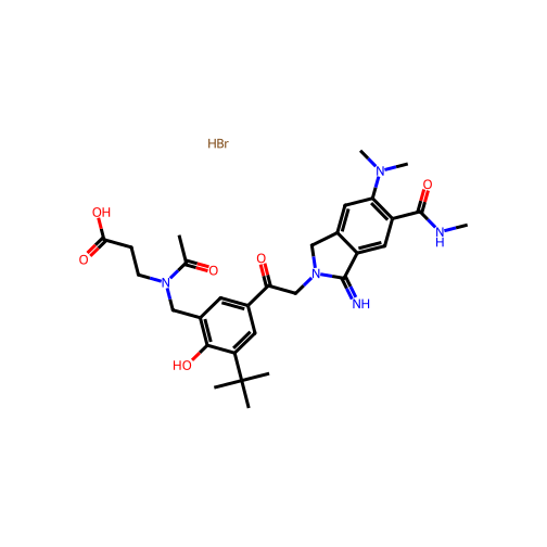 Br.CNC(=O)c1cc2c(cc1N(C)C)CN(CC(=O)c1cc(CN(CCC(=O)O)C(C)=O)c(O)c(C(C)(C)C)c1)C2=N